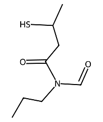 CCCN(C=O)C(=O)CC(C)S